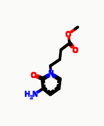 COC(=O)CCCn1cccc(N)c1=O